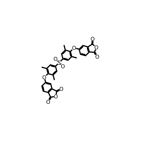 Cc1cc(S(=O)(=O)c2cc(C)c(Oc3ccc4c(c3)C(=O)OC4=O)c(C)c2)cc(C)c1Oc1ccc2c(c1)C(=O)OC2=O